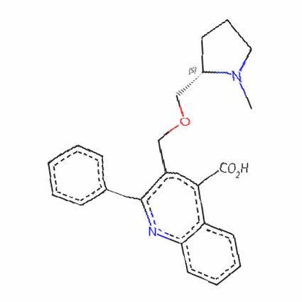 CN1CCC[C@H]1COCc1c(-c2ccccc2)nc2ccccc2c1C(=O)O